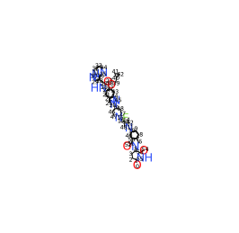 O=C1CCC(N2Cc3ccc(N4CC(F)(CN5CCC(n6cc7cc(NC(=O)c8cnn9cccnc89)c(OCC8CC8)cc7n6)CC5)C4)cc3C2=O)C(=O)N1